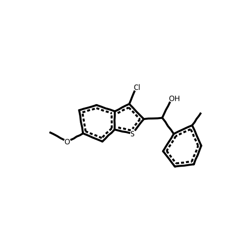 COc1ccc2c(Cl)c(C(O)c3ccccc3C)sc2c1